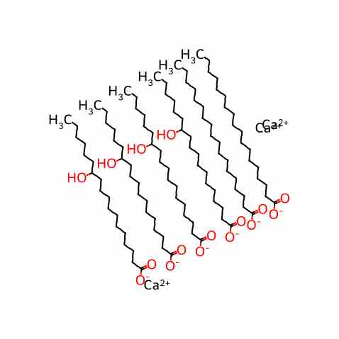 CCCCCCC(O)CCCCCCCCCCC(=O)[O-].CCCCCCC(O)CCCCCCCCCCC(=O)[O-].CCCCCCC(O)CCCCCCCCCCC(=O)[O-].CCCCCCC(O)CCCCCCCCCCC(=O)[O-].CCCCCCCCCCCCCCCCCC(=O)[O-].CCCCCCCCCCCCCCCCCC(=O)[O-].[Ca+2].[Ca+2].[Ca+2]